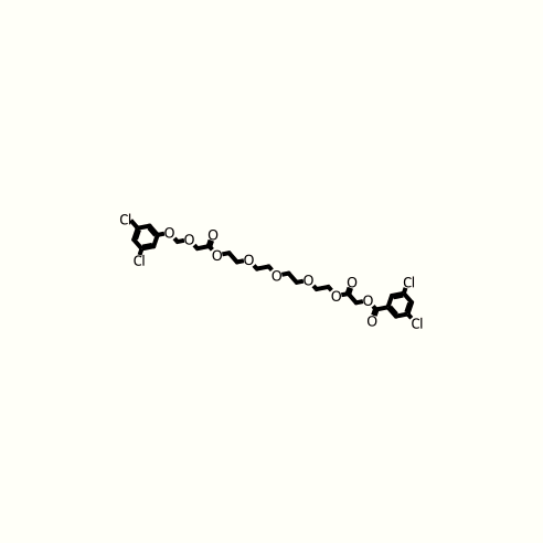 O=C(COCOc1cc(Cl)cc(Cl)c1)OCCOCCOCCOCCOC(=O)COC(=O)c1cc(Cl)cc(Cl)c1